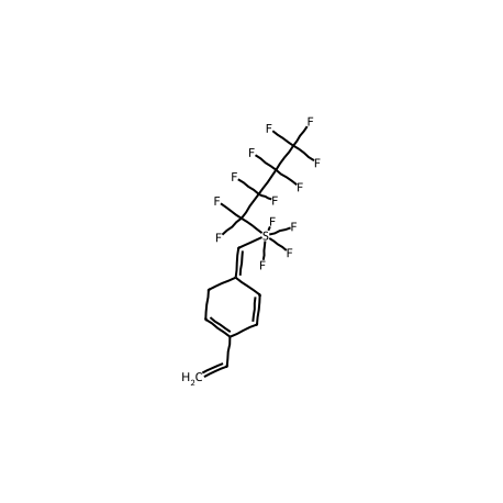 C=CC1=CCC(=CS(F)(F)(F)(F)C(F)(F)C(F)(F)C(F)(F)C(F)(F)F)C=C1